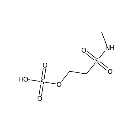 CNS(=O)(=O)CCOS(=O)(=O)O